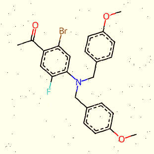 COc1ccc(CN(Cc2ccc(OC)cc2)c2cc(Br)c(C(C)=O)cc2F)cc1